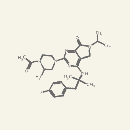 CC(=O)N1CCN(c2nc(NC(C)(C)Cc3ccc(F)cc3)c3c(n2)C(=O)N(C(C)C)C3)CC1C